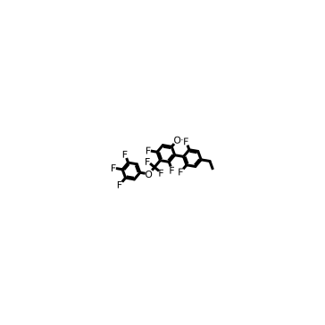 CCc1cc(F)c(-c2c([O])cc(F)c(C(F)(F)Oc3cc(F)c(F)c(F)c3)c2F)c(F)c1